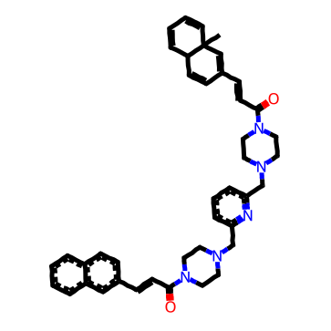 CC12C=CC=CC1C=CC(/C=C/C(=O)N1CCN(Cc3cccc(CN4CCN(C(=O)/C=C/c5ccc6ccccc6c5)CC4)n3)CC1)=C2